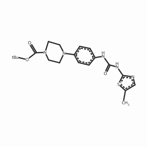 Cc1cnc(NC(=O)Nc2ccc(N3CCN(C(=O)OC(C)(C)C)CC3)cc2)s1